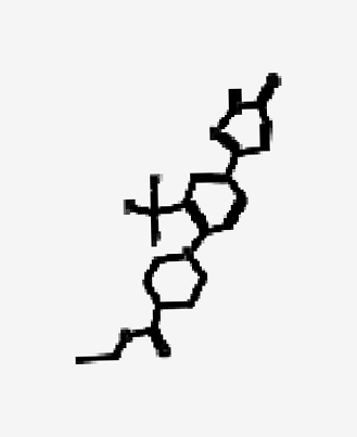 CCOC(=O)C1CCN(c2ccc(-c3ccc(=O)[nH]n3)cc2C(F)(F)F)CC1